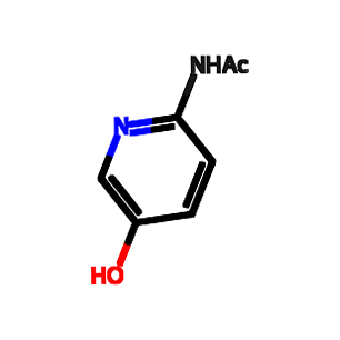 CC(=O)Nc1ccc(O)cn1